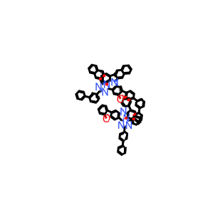 c1ccc(-c2ccc(-c3nc(-c4cccc(-c5cccc(-c6ccc7c(c6)oc6cc(-c8nc(-c9cccc(-c%10ccccc%10)c9)nc(-c9ccc%10ccccc%10c9)n8)c(-n8c9ccccc9c9cc%10ccccc%10cc98)cc67)c5)c4)nc(-c4cc5oc6ccccc6c5cc4-n4c5ccccc5c5cc6ccccc6cc54)n3)cc2)cc1